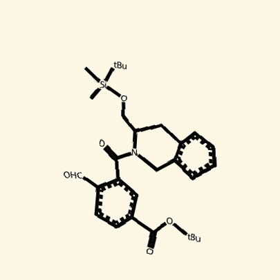 CC(C)(C)OC(=O)c1ccc(C=O)c(C(=O)N2Cc3ccccc3CC2CO[Si](C)(C)C(C)(C)C)c1